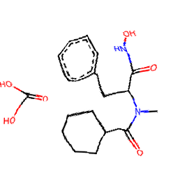 CN(C(=O)C1CCCCC1)C(Cc1ccccc1)C(=O)NO.O=C(O)O